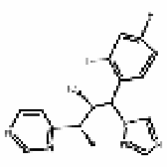 C[C@@H](c1ccncn1)[C@@H](O)C(c1ccc(F)cc1F)n1cncn1